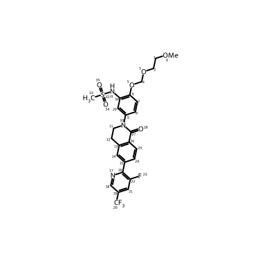 COCCOCOc1ccc(N2CCc3cc(-c4ncc(C(F)(F)F)cc4F)ccc3C2=O)cc1NS(C)(=O)=O